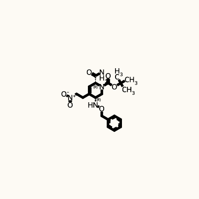 CC(C)(C)OC(=O)N1C[C@H](NOCc2ccccc2)C(CC[N+](=O)[O-])=C[C@@H]1C(N)=O